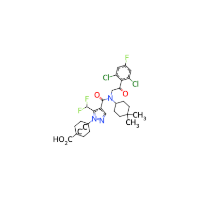 CC1(C)CCC(N(CC(=O)c2c(Cl)cc(F)cc2Cl)C(=O)c2cnn(C34CCC(C(=O)O)(CC3)CC4)c2C(F)F)CC1